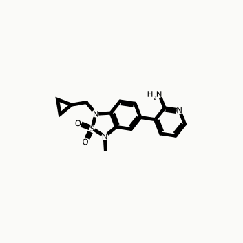 CN1c2cc(-c3cccnc3N)ccc2N(CC2CC2)S1(=O)=O